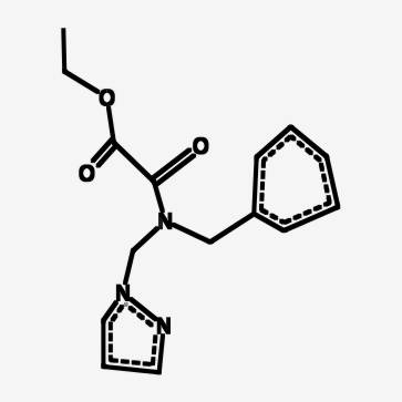 CCOC(=O)C(=O)N(Cc1ccccc1)Cn1cccn1